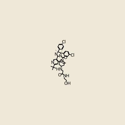 CCOc1cc(C(C)(C)C)ncc1C1=N[C@@](C)(c2ccc(Cl)cc2)[C@@](C)(c2ccc(Cl)cc2)N1C(=O)N1CCC(NCC(=O)NCCO)CC1